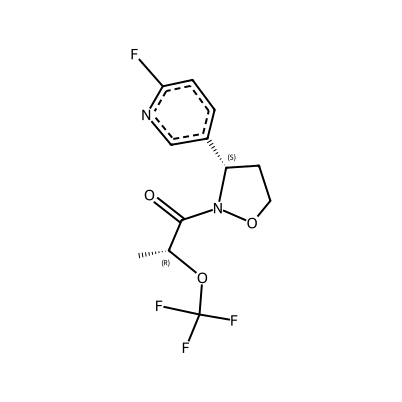 C[C@@H](OC(F)(F)F)C(=O)N1OCC[C@H]1c1ccc(F)nc1